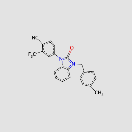 Cc1ccc(Cn2c(=O)n(-c3ccc(C#N)c(C(F)(F)F)c3)c3ccccc32)cc1